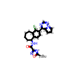 CC(C)(C)c1nc(C(=O)NC2CCCCc3c2ccc(-c2ncnn4cccc24)c3F)no1